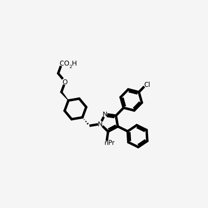 CCCc1c(-c2ccccc2)c(-c2ccc(Cl)cc2)nn1C[C@H]1CC[C@H](COCC(=O)O)CC1